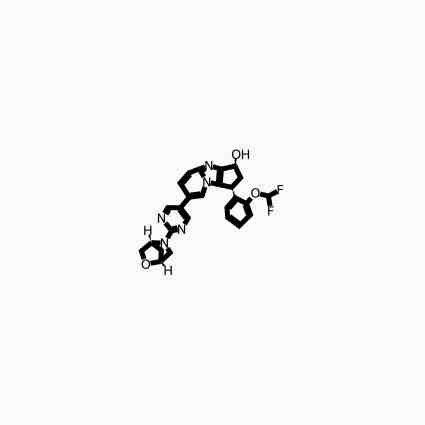 O[C@@H]1C[C@H](c2ccccc2OC(F)F)c2c1nc1ccc(-c3cnc(N4C[C@@H]5C[C@H]4CO5)nc3)cn21